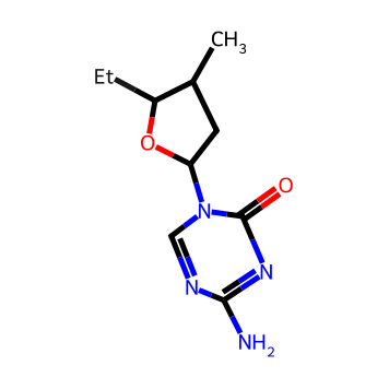 CCC1OC(n2cnc(N)nc2=O)CC1C